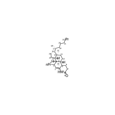 CCCC1C=C2NC(=O)CC[C@]2(C)[C@H]2CC[C@]3(C)[C@@H]([C@H](C)CCCC(C)C)CC[C@H]3[C@H]12